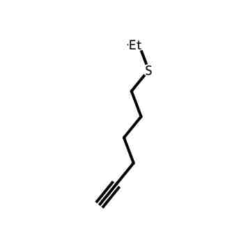 C#CCCCCS[CH]C